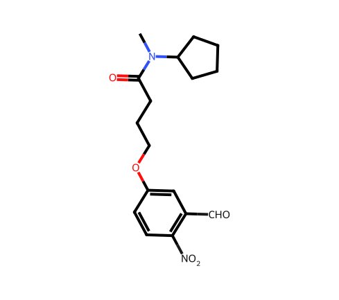 CN(C(=O)CCCOc1ccc([N+](=O)[O-])c(C=O)c1)C1CCCC1